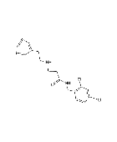 O=C(CCNCCc1ccccc1)NCc1ccc(Cl)cc1Cl